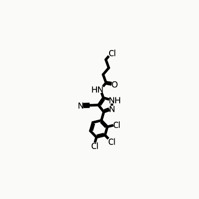 N#Cc1c(-c2ccc(Cl)c(Cl)c2Cl)n[nH]c1NC(=O)CCCCl